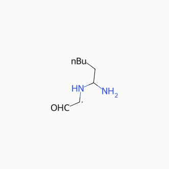 CCCCCC(N)N[CH]C=O